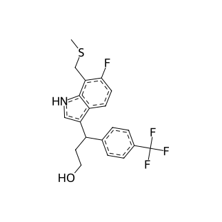 CSCc1c(F)ccc2c(C(CCO)c3ccc(C(F)(F)F)cc3)c[nH]c12